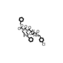 CC(C)CCN(C(=O)OCc1ccccc1)C(=O)N(CCCc1ccccc1)C(=O)c1nc(C(=O)NCc2ccc(Cl)cc2)co1